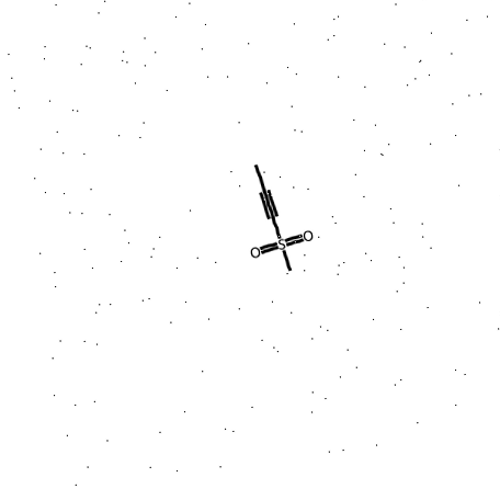 CC#CS(C)(=O)=O